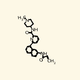 C=CC(=O)Nc1ccc2cccc(-c3cccc(C(=O)NC4CCN(C)CC4)n3)c2c1